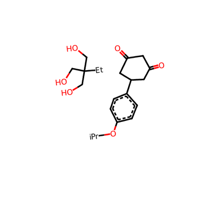 CC(C)Oc1ccc(C2CC(=O)CC(=O)C2)cc1.CCC(CO)(CO)CO